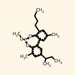 CCCCc1cc(C)cc2c1op(OC)oc1c(C)cc(C(C)CC)cc12